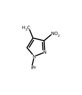 Cc1cn(C(C)C)nc1[N+](=O)[O-]